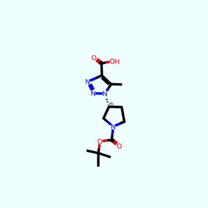 Cc1c(C(=O)O)nnn1[C@@H]1CCN(C(=O)OC(C)(C)C)C1